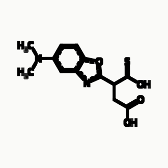 CN(C)c1ccc2oc(C(CC(=O)O)C(O)=S)nc2c1